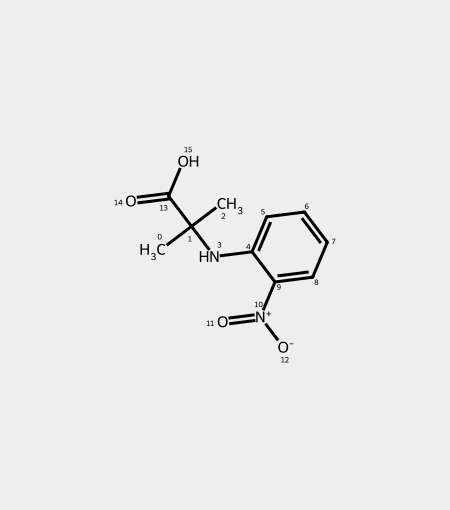 CC(C)(Nc1ccccc1[N+](=O)[O-])C(=O)O